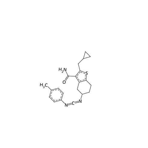 Cc1ccc(N=C=NC2CCc3sc(CC4CC4)c(C(N)=O)c3C2)cc1